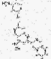 Nc1cccc(C#Cc2ccc3c(=NO)cc(-c4cc5ccccc5cn4)oc3c2)c1